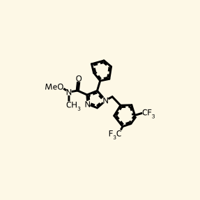 CON(C)C(=O)c1ncn(Cc2cc(C(F)(F)F)cc(C(F)(F)F)c2)c1-c1ccccc1